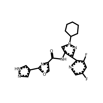 O=C(Nc1cn(C2CCCCC2)nc1-c1ncc(F)cc1F)c1coc(-c2cn[nH]c2)n1